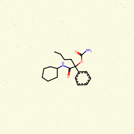 CCCCC(OC(N)=O)(C(=O)NC1CCCCC1)c1ccccc1